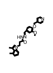 COc1cc(C=NNC(=O)CCn2cc(C)c3c(C)cccc32)ccc1OCc1ccncc1